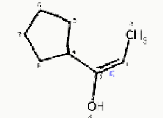 C/C=C(/O)C1CCCC1